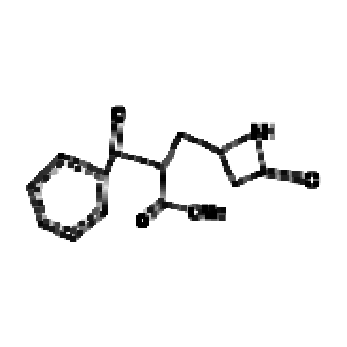 COC(=O)C(CC1CC(=O)N1)C(=O)c1ccccc1